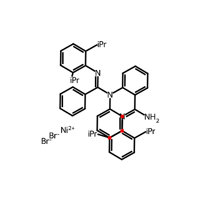 CC(C)c1cccc(C(C)C)c1N=C(N)c1ccccc1N(C(=Nc1c(C(C)C)cccc1C(C)C)c1ccccc1)c1ccccc1.[Br-].[Br-].[Ni+2]